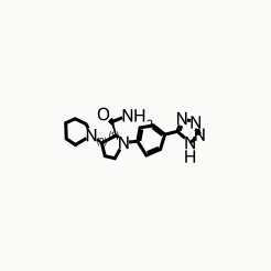 NC(=O)[C@@H]1[C@H](N2CCCCC2)CCN1c1ccc(-c2nnn[nH]2)cc1